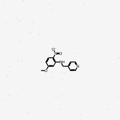 COc1ccc([N+](=O)[O-])c(NCc2ccncc2)c1